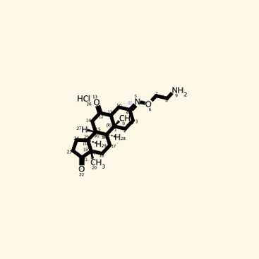 C[C@]12CC/C(=N\OCCN)CC1C(=O)C[C@@H]1[C@@H]2CC[C@]2(C)C(=O)CC[C@@H]12.Cl